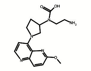 COc1ccc2nccc(N3CCC(N(CCN)C(=O)O)C3)c2n1